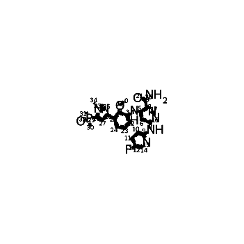 COc1c(Nc2cc(Nc3ccc(F)cn3)nnc2C(N)=O)cccc1-c1cc(P(C)(C)=O)n(C)n1